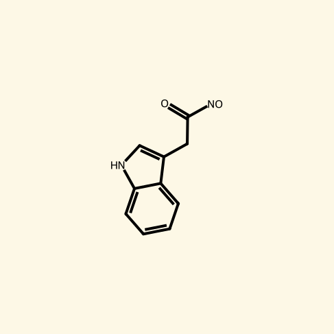 O=NC(=O)Cc1c[nH]c2ccccc12